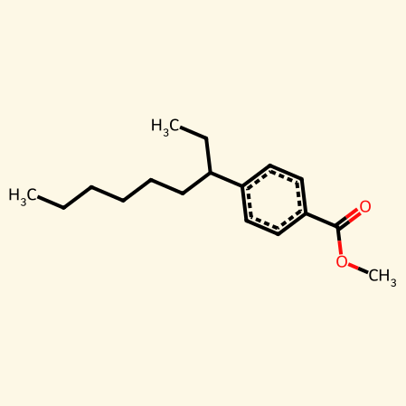 CCCCCCC(CC)c1ccc(C(=O)OC)cc1